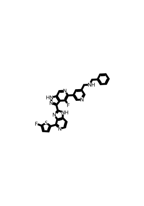 Fc1ccc(-c2nccc3[nH]c(-c4n[nH]c5cnc(-c6cncc(CNCc7ccccc7)c6)c(F)c45)nc23)s1